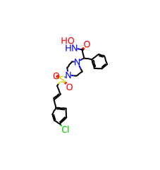 O=C(NO)C(c1ccccc1)N1CCN(S(=O)(=O)CC=Cc2ccc(Cl)cc2)CC1